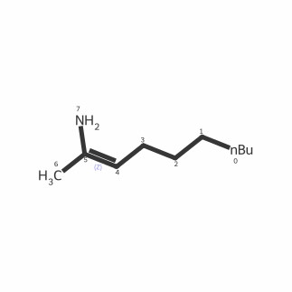 CCCCCCC/C=C(/C)N